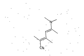 C/C(=C\C(C)=C(/C)C#N)N(C)C